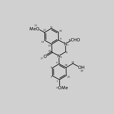 COc1ccc(N2CN(C=O)c3ccc(OC)cc3C2=O)c(CO)c1